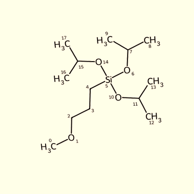 COCCC[Si](OC(C)C)(OC(C)C)OC(C)C